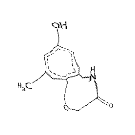 Cc1cc(O)cc2c1OCC(=O)N2